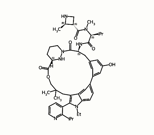 CCn1c(-c2cccnc2C(C)C)c2c3cc(ccc31)-c1cc(O)cc(c1)C[C@H](NC(=O)[C@H](C(C)C)N(C)C(=O)[C@H]1CN[C@@H]1C)C(=O)N1CCC[C@H](N1)C(=O)OCC(C)(C)C2